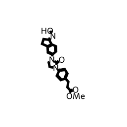 COC(=O)CCc1ccc(N2CCN(c3ccc4c(c3)CCC4=NO)C2=O)cc1